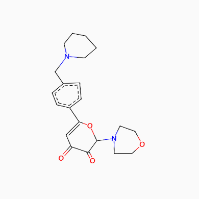 O=C1C=C(c2ccc(CN3CCCCC3)cc2)OC(N2CCOCC2)C1=O